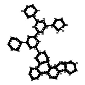 c1ccc(-c2cc(-c3ccc4c(c3)c3ccccc3c3ccc5c6ccccc6sc5c34)cc(-c3nc(-c4ccccc4)nc(-c4ccccc4)n3)c2)cc1